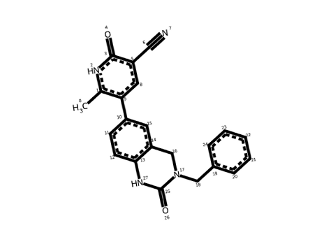 Cc1[nH]c(=O)c(C#N)cc1-c1ccc2c(c1)CN(Cc1ccccc1)C(=O)N2